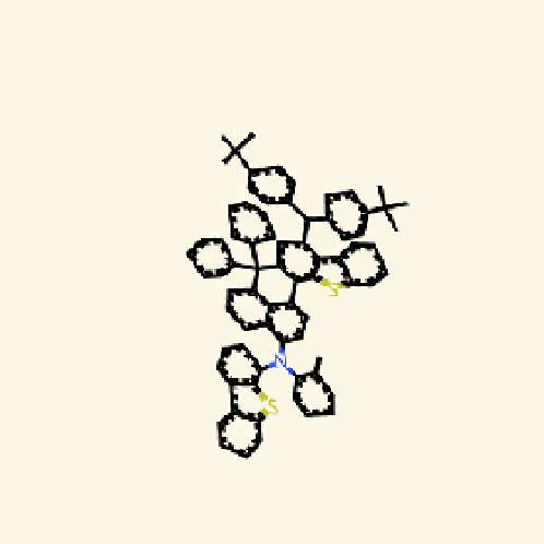 Cc1ccccc1N(c1ccc2c3c(cccc13)C(c1ccccc1)(c1ccccc1)c1cc(C(c3ccc(C(C)(C)C)cc3)c3ccc(C(C)(C)C)cc3)c3c(sc4ccccc43)c1-2)c1cccc2c1sc1ccccc12